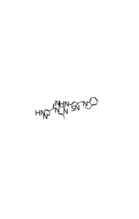 Cc1cn2c(-c3cn[nH]c3)cnc2c(Nc2cc(CN3CCc4ccccc43)ns2)n1